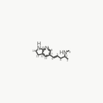 CNC(C)C/C=C/c1cnc2c(c1)CCN2